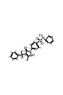 CCN(c1ccccc1)S(=O)(=O)c1ccc(-n2[nH]c(C)c(C(C)(C)c3ccccc3)c2=O)nc1